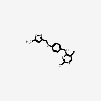 Cc1cc(COc2ccc(Nc3nc(Cl)ncc3F)cc2)no1